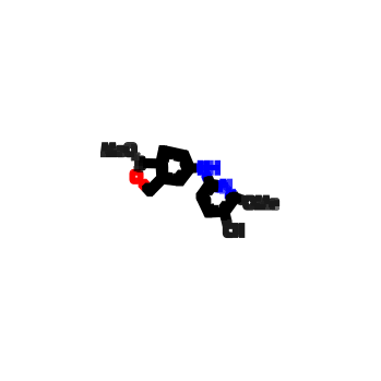 COB1OCc2cc(Nc3ccc(C#N)c(OC)n3)ccc21